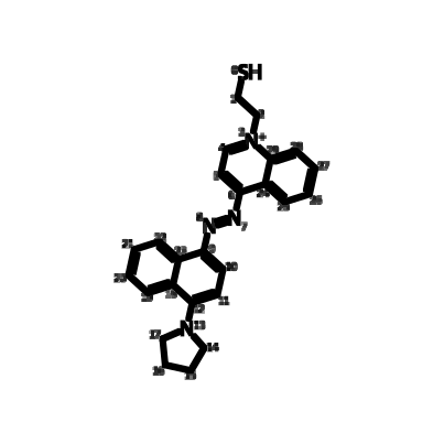 SCC[n+]1ccc(/N=N/c2ccc(N3CCCC3)c3ccccc23)c2ccccc21